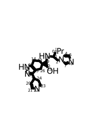 CC(C)C(Cn1ccnc1)NC1=C(O)C12CCc1[nH]nc(C3C=CN=CC3)c1C2